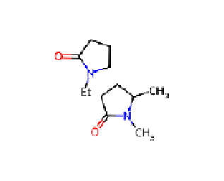 CC1CCC(=O)N1C.CCN1CCCC1=O